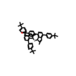 CC1=Cc2c(-c3ccc(C(C)(C)C)cc3)ccc(-c3ccc(C(C)(C)C)cc3)c2C1SC1C(C)=Cc2c(-c3ccc(C(C)(C)C)cc3)ccc(-c3ccc(C(C)(C)C)cc3)c21